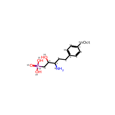 CCCCCCCCc1ccc(CCC(N)C(O)CP(=O)(O)O)cc1